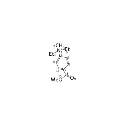 CC[N+](C)(CC)c1ccc(C(=O)OC)cc1